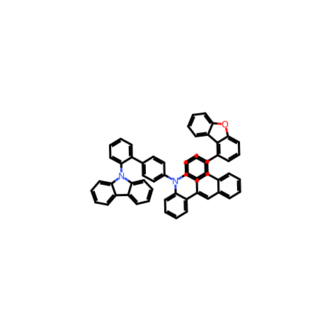 c1ccc(N(c2ccc(-c3ccccc3-n3c4ccccc4c4ccccc43)cc2)c2ccc(-c3cccc4oc5ccccc5c34)cc2)c(-c2cc3ccccc3c3ccccc23)c1